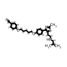 Cc1nc(-c2ccc(OCCCCCOc3ccc(C#N)cc3)cc2)c(CCNCC(C)C)s1